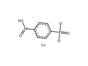 O=[N+](O)c1ccc(P(=O)([O-])[O-])cc1.[Cu]